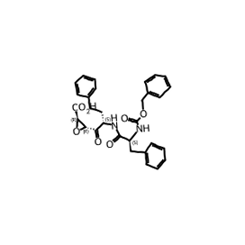 O=C(N[C@@H](Cc1ccccc1)C(=O)N[C@@H](CCc1ccccc1)C(=O)[C@@H]1O[C@H]1C(=O)O)OCc1ccccc1